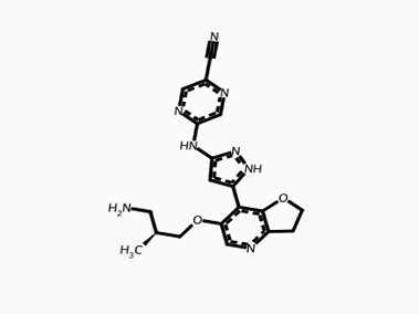 C[C@@H](CN)COc1cnc2c(c1-c1cc(Nc3cnc(C#N)cn3)n[nH]1)OCC2